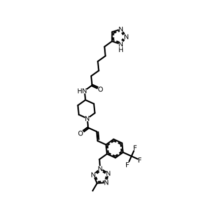 Cc1nnn(Cc2cc(C(F)(F)F)ccc2/C=C/C(=O)N2CCC(NC(=O)CCCCCc3cnn[nH]3)CC2)n1